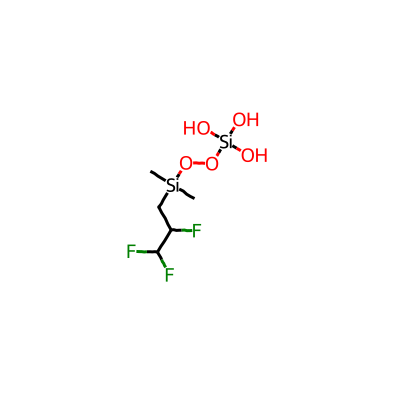 C[Si](C)(CC(F)C(F)F)OO[Si](O)(O)O